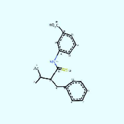 CC(=O)C(C)C(Cc1ccccc1)C(=S)Nc1cccc(C(=O)O)c1